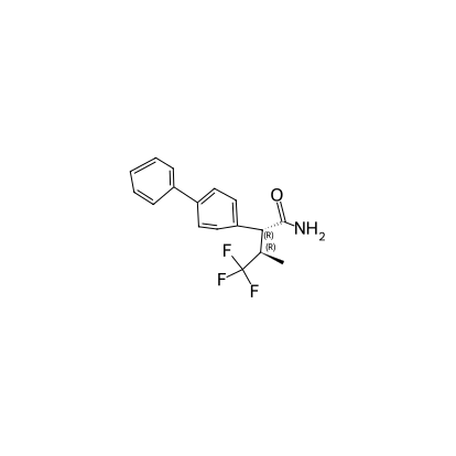 C[C@H]([C@@H](C(N)=O)c1ccc(-c2ccccc2)cc1)C(F)(F)F